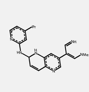 CN/C=C(\C=N)c1cnc2c(c1)NC(Nc1cc(C(C)C)ccn1)C=C2